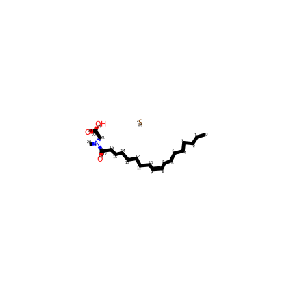 CCCCCCCC/C=C\CCCCCCCC(=O)N(C)CC(=O)O.[S]